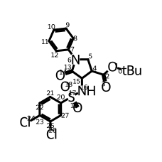 CC(C)(C)OC(=O)C1CN(c2ccccc2)C(=O)C1NS(=O)(=O)c1ccc(Cl)c(Cl)c1